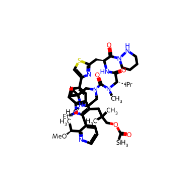 CCn1c(-c2cccnc2[C@H](C)OC)c(CC(C)(C)COC(=O)[SiH3])c2cc(-c3csc(C[C@H](NC(=O)[C@H](C(C)C)N(C)C(=O)N4CCN(C)C5(CC5)C4)C(=O)N4CCCCN4)n3)ccc21